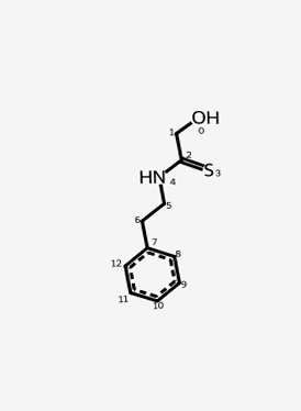 OCC(=S)NCCc1ccccc1